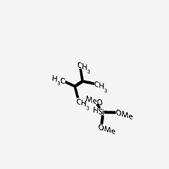 CC(C)C(C)C.CO[SiH](OC)OC